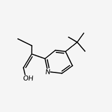 CC/C(=C/O)c1cc(C(C)(C)C)ccn1